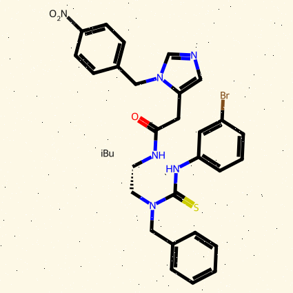 CC[C@H](C)[C@@H](CN(Cc1ccccc1)C(=S)Nc1cccc(Br)c1)NC(=O)Cc1cncn1Cc1ccc([N+](=O)[O-])cc1